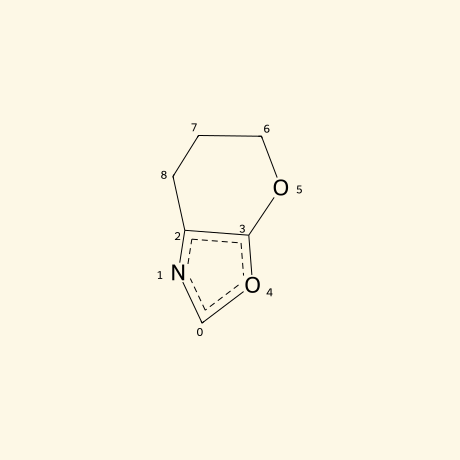 c1nc2c(o1)OCCC2